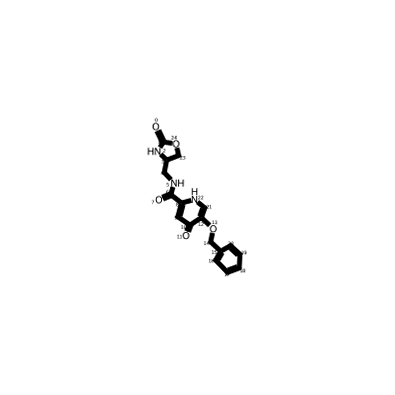 O=C1NC(CNC(=O)c2cc(=O)c(OCc3ccccc3)c[nH]2)CO1